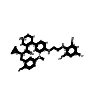 COc1ccc(F)c(CN(C(=O)C2=C(c3ccc(OCCOc4c(F)cc(F)cc4F)cc3)CCNC2)C2CC2)c1